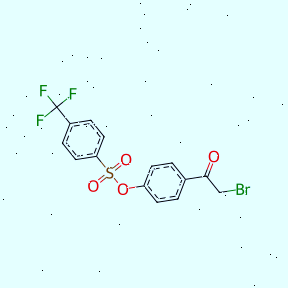 O=C(CBr)c1ccc(OS(=O)(=O)c2ccc(C(F)(F)F)cc2)cc1